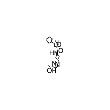 CC(O)c1ccn(CC2CC(NC(=O)c3cc(-c4ccccc4)no3)C2)n1